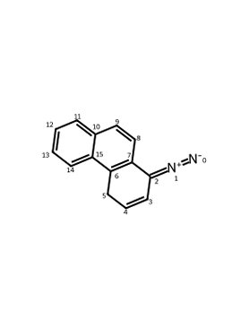 [N-]=[N+]=C1C=CCc2c1ccc1ccccc21